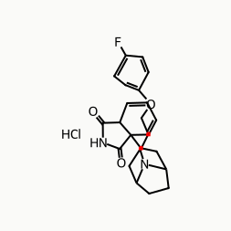 Cl.O=C1NC(=O)C2(C3CC4CCC(C3)N4CCCOc3ccc(F)cc3)C=CC=CC12